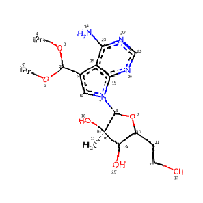 CC(C)OC(OC(C)C)c1cn(C2OC(CCO)C(O)[C@@]2(C)O)c2ncnc(N)c12